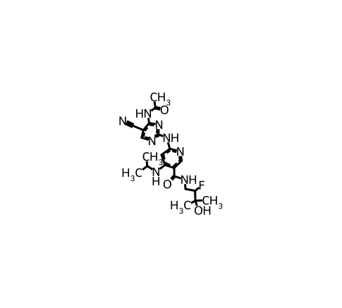 CC(=O)Nc1nc(Nc2cc(NC(C)C)c(C(=O)NCC(F)C(C)(C)O)cn2)ncc1C#N